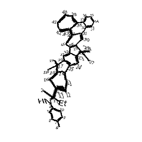 CCC(C)(Nc1ccc(C)cc1)c1ccc2c(c1)C(C)(C)c1cc3c(cc1-2)C(C)(C)c1cc2c4ccccc4c4ccccc4c2cc1-3